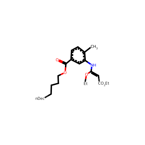 CCCCCCCCCCCCCCOC(=O)c1ccc(C)c(NC(=CC(=O)OCC)OCC)c1